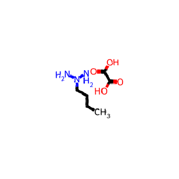 CCCCN(N)N.O=C(O)C(=O)O